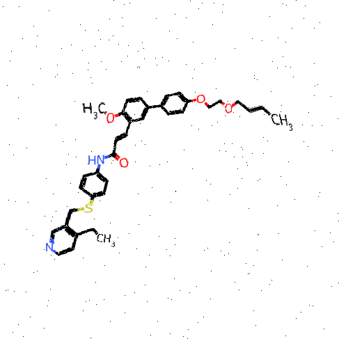 CCCCOCCOc1ccc(-c2ccc(OC)c(/C=C/C(=O)Nc3ccc(SCc4cnccc4CC)cc3)c2)cc1